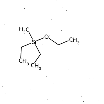 CCO[Si](C)(CC)CC